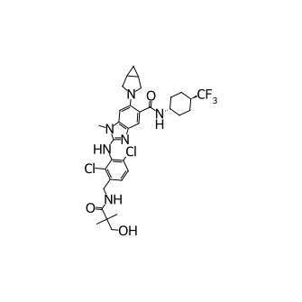 Cn1c(Nc2c(Cl)ccc(CNC(=O)C(C)(C)CO)c2Cl)nc2cc(C(=O)N[C@H]3CC[C@H](C(F)(F)F)CC3)c(N3CC4CC4C3)cc21